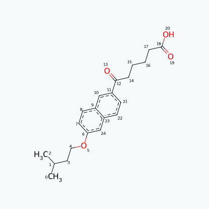 CC(C)CCOc1ccc2cc(C(=O)CCCCC(=O)O)ccc2c1